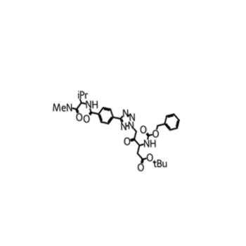 CNC(=O)C(NC(=O)c1ccc(-c2nnn(CC(=O)C(CC(=O)OC(C)(C)C)NC(=O)OCc3ccccc3)n2)cc1)C(C)C